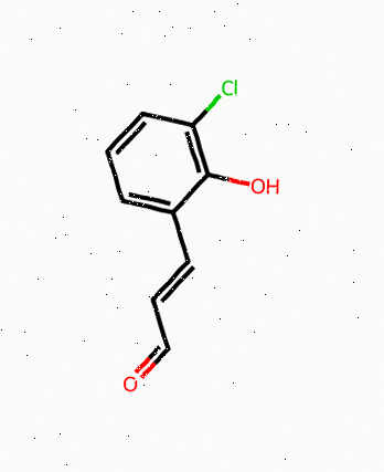 O=CC=Cc1cccc(Cl)c1O